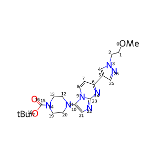 COCCn1cc(-c2ccn3c(N4CCN(C(=O)OC(C)(C)C)CC4)cnc3n2)cn1